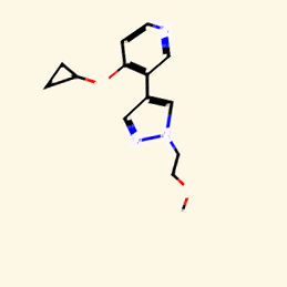 COCCn1cc(-c2cnccc2OC2CC2)cn1